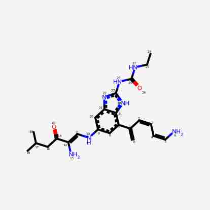 C=C(/C=C\C=C/N)c1cc(N/C=C(\N)C(=O)CC(C)C)cc2nc(NC(=O)NCC)[nH]c12